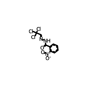 O=C(NN=CC(Cl)(Cl)Cl)c1ccccc1[N+](=O)[O-]